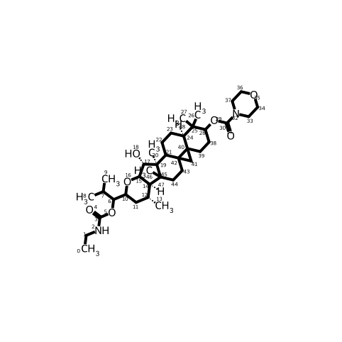 CCNC(=O)OC(C(C)C)C1C[C@@H](C)[C@H]2C(O1)[C@H](O)[C@@]1(C)C3CC[C@H]4C(C)(C)C(OC(=O)N5CCOCC5)CCC45CC35CCC21C